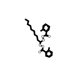 [CH2]CCCCCCCC[C](OOC(=O)c1ccccc1C)OOC(=O)c1ccccc1C